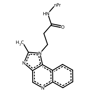 CCCNC(=O)CCn1c(C)nc2cnc3ccccc3c21